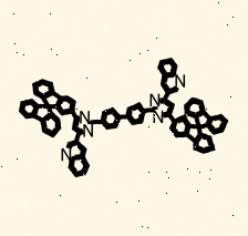 c1ccc2c(c1)-c1ccccc1C21c2ccccc2-c2ccc(-c3cc(-c4cnc5ccccc5c4)nc(-c4ccc(-c5ccc(-c6nc(-c7ccc8c(c7)C7(c9ccccc9-c9ccccc97)c7ccccc7-8)cc(-c7cnc8ccccc8c7)n6)cc5)cc4)n3)cc21